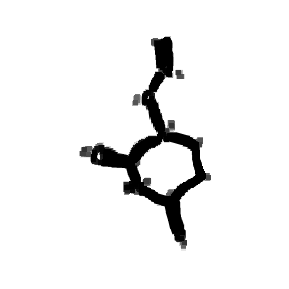 C=NON1CCC(=O)NC1=O